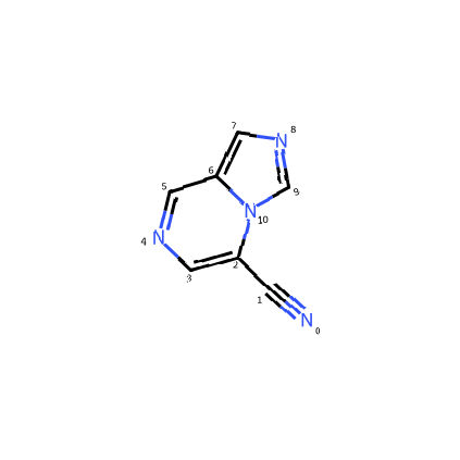 N#Cc1cncc2cncn12